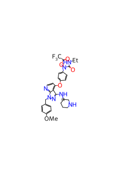 CCNC(=O)N(OC(=O)C(F)(F)F)c1ccc(Oc2ccnc3c2c(N[C@@H]2CCCNC2)nn3Cc2ccc(OC)cc2)cc1